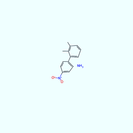 Cc1cccc(-c2ccc([N+](=O)[O-])cc2)c1C.N